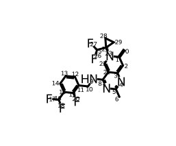 C=C1C=c2nc(C)nc(NCc3cccc(C(F)F)c3F)c2=CN1C1(C(F)F)CC1